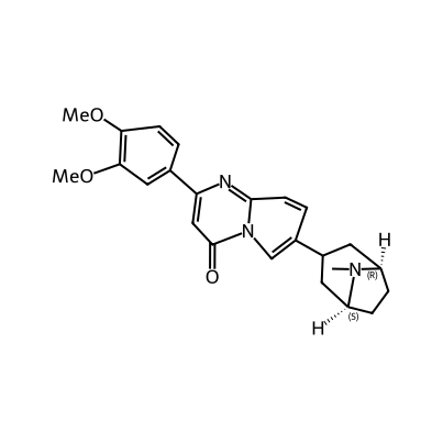 COc1ccc(-c2cc(=O)n3cc(C4C[C@H]5CC[C@@H](C4)N5C)ccc3n2)cc1OC